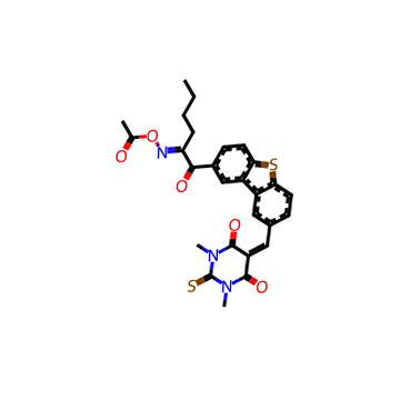 CCCC/C(=N\OC(C)=O)C(=O)c1ccc2sc3ccc(C=C4C(=O)N(C)C(=S)N(C)C4=O)cc3c2c1